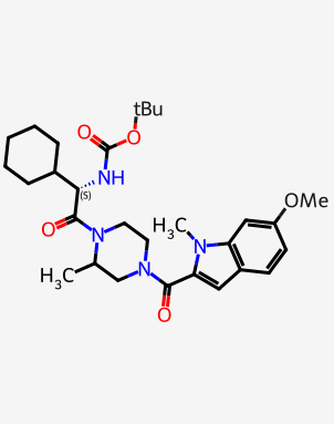 COc1ccc2cc(C(=O)N3CCN(C(=O)[C@@H](NC(=O)OC(C)(C)C)C4CCCCC4)C(C)C3)n(C)c2c1